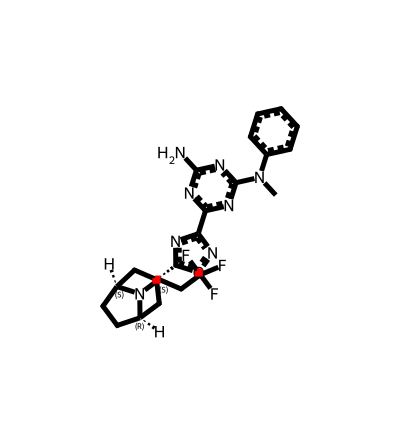 CN(c1ccccc1)c1nc(N)nc(-c2noc([C@@H]3C[C@H]4CC[C@@H](C3)N4CCC(F)(F)F)n2)n1